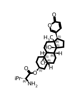 CC(C)[C@@H](N)C(=O)O[C@H]1CC[C@@]2(C)[C@H](CC[C@@H]3[C@@H]2CC[C@]2(C)[C@@H](c4ccc(=O)oc4)CC[C@]32O)C1